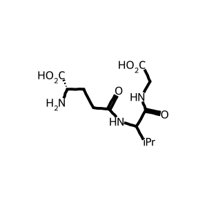 CC(C)C(NC(=O)CC[C@H](N)C(=O)O)C(=O)NCC(=O)O